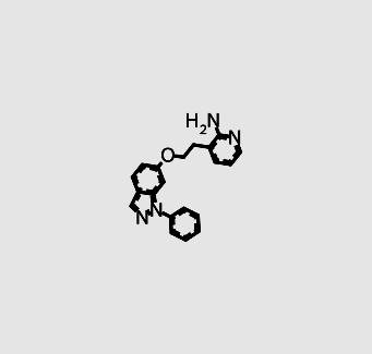 Nc1ncccc1CCOc1ccc2cnn(-c3ccccc3)c2c1